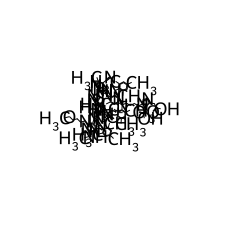 [C-]#[N+]c1cn(-c2nnc(-n3nc(C)c(C#N)c3N=Nc3c(C)cc(N(CCCCn4cnc(CC(=O)O)c4CC(=O)O)c4c(C)cc(C)cc4C)nc3Nc3c(C)cc(C)cc3C)s2)nc1N=Nc1c(NCCCOC)nc(NC)nc1Nc1c(C)cc(C)cc1C